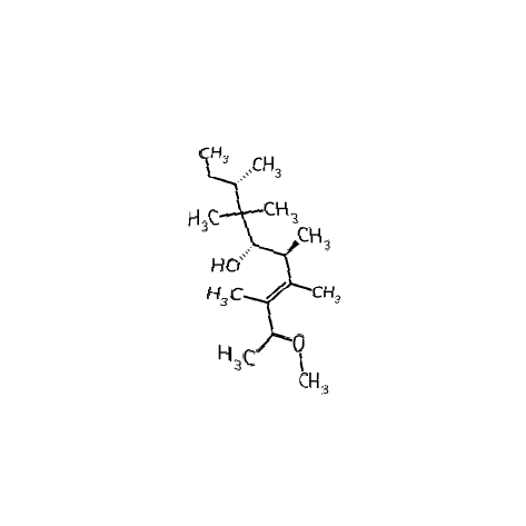 CC[C@H](C)C(C)(C)[C@@H](O)[C@@H](C)/C(C)=C(\C)C(C)OC